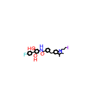 Cc1c(C)n(CCCI)c2ccc(Cc3cccc(C(=O)Nc4cc(O)c(-c5ccc(F)cc5)c(O)c4)c3)cc12